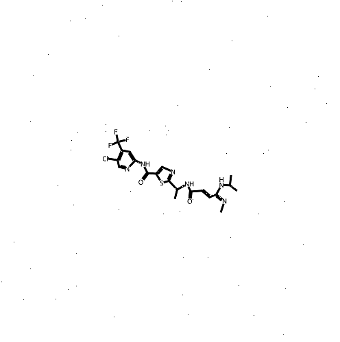 C/N=C(\C=C\C(=O)NC(C)c1ncc(C(=O)Nc2cc(C(F)(F)F)c(Cl)cn2)s1)NC(C)C